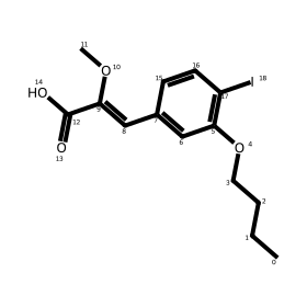 CCCCOc1cc(/C=C(\OC)C(=O)O)ccc1I